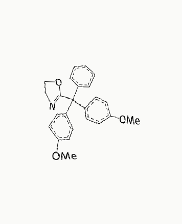 COc1ccc(C(C2=NCCO2)(c2ccccc2)c2ccc(OC)cc2)cc1